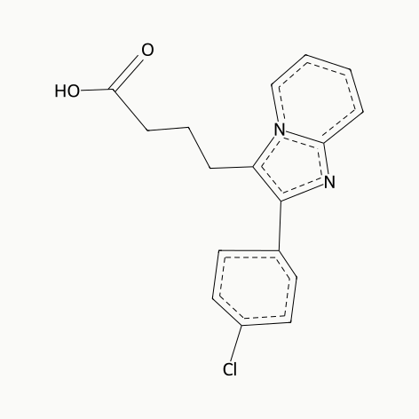 O=C(O)CCCc1c(-c2ccc(Cl)cc2)nc2ccccn12